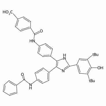 CC(C)(C)c1cc(-c2nc(-c3ccc(NC(=O)c4ccccc4)cc3)c(-c3ccc(NC(=O)c4ccc(C(=O)O)cc4)cc3)[nH]2)cc(C(C)(C)C)c1O